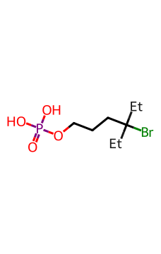 CCC(Br)(CC)CCCOP(=O)(O)O